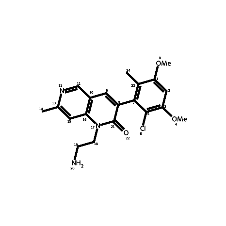 COc1cc(OC)c(Cl)c(-c2cc3cnc(C)cc3n(CCN)c2=O)c1C